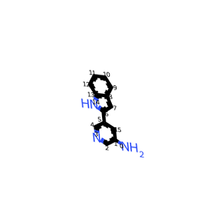 Nc1cncc(-c2cc3ccccc3[nH]2)c1